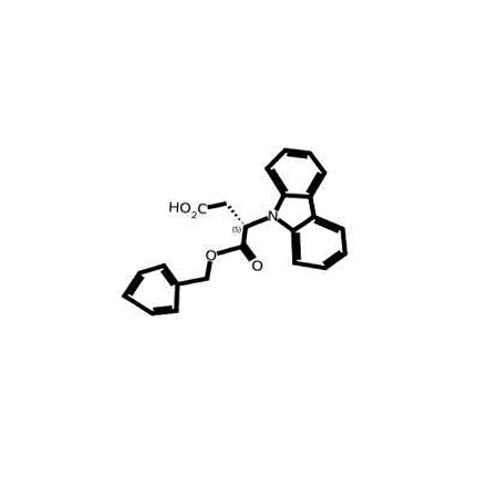 O=C(O)C[C@@H](C(=O)OCc1ccccc1)n1c2ccccc2c2ccccc21